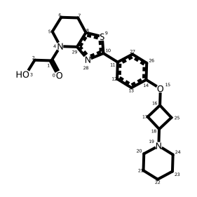 O=C(CO)N1CCCc2sc(-c3ccc(OC4CC(N5CCCCC5)C4)cc3)nc21